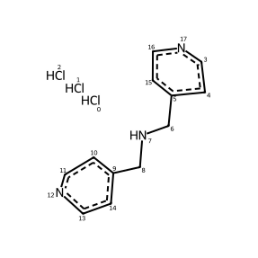 Cl.Cl.Cl.c1cc(CNCc2ccncc2)ccn1